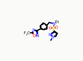 CCN(Cc1ccc(-c2noc(C(F)(F)F)n2)cc1)S(=O)(=O)c1ccn(C)n1